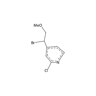 COCC(Br)c1ccnc(Cl)c1